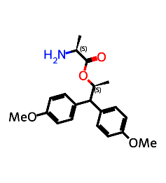 COc1ccc(C(c2ccc(OC)cc2)[C@H](C)OC(=O)[C@H](C)N)cc1